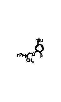 CCCN(C)COc1cc(C(C)(C)C)ccc1F